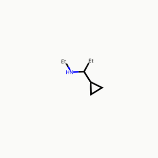 CCNC(CC)C1CC1